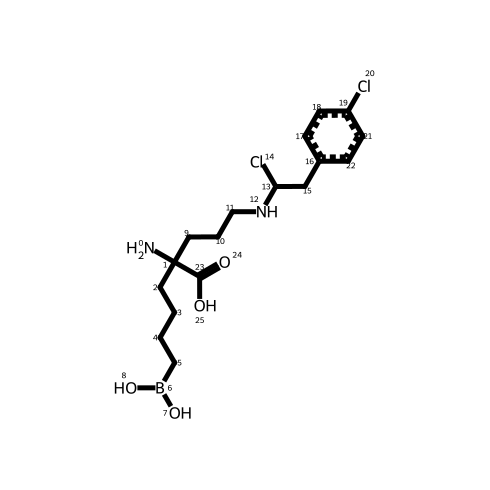 NC(CCCCB(O)O)(CCCNC(Cl)Cc1ccc(Cl)cc1)C(=O)O